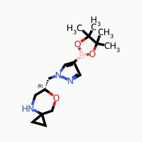 CC1(C)OB(c2cnn(C[C@H]3CNC4(CC4)CO3)c2)OC1(C)C